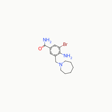 NC(=O)c1cc(Br)c(N)c(CN2CCCCCC2)c1